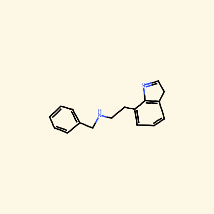 C1=Nc2c(cccc2CCNCc2ccccc2)C1